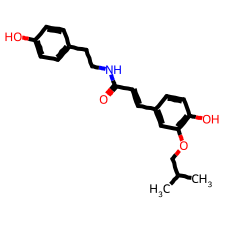 CC(C)COc1cc(C=CC(=O)NCCc2ccc(O)cc2)ccc1O